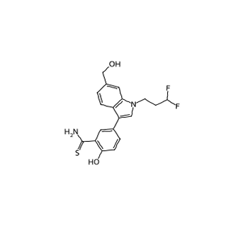 NC(=S)c1cc(-c2cn(CCC(F)F)c3cc(CO)ccc23)ccc1O